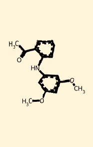 COc1cc(Nc2ccccc2C(C)=O)cc(OC)c1